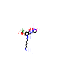 NCCCCCCCNc1cccc2c1CN(C1CCC(=O)NC1=O)C2=O.O=C(O)C(F)(F)F